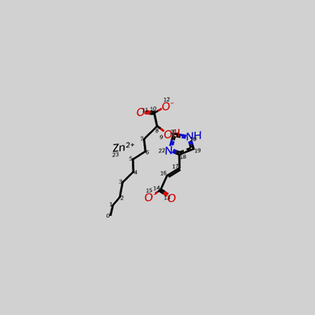 CCCCCCCCC(O)C(=O)[O-].O=C([O-])C=Cc1c[nH]cn1.[Zn+2]